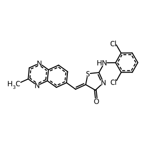 Cc1cnc2ccc(/C=C3\SC(Nc4c(Cl)cccc4Cl)=NC3=O)cc2n1